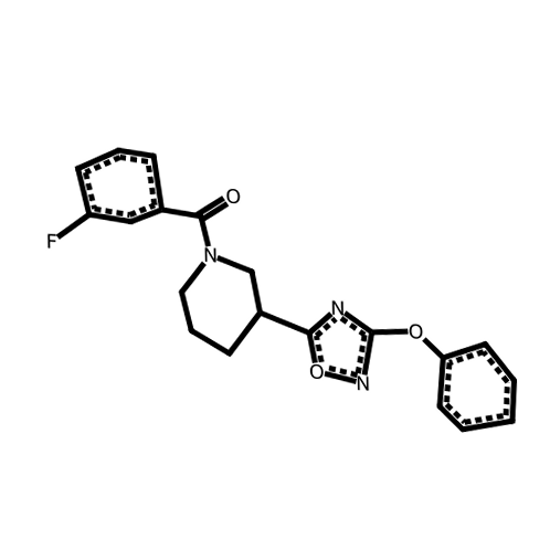 O=C(c1cccc(F)c1)N1CCCC(c2nc(Oc3ccccc3)no2)C1